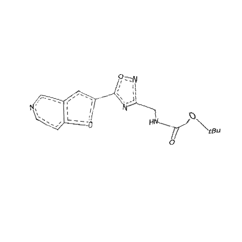 CC(C)(C)OC(=O)NCc1noc(-c2cc3cnccc3o2)n1